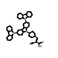 N#C/C(=C\c1ccc(-n2c3ccc(-n4c5ccccc5c5ccccc54)cc3c3cc(-n4c5ccccc5c5ccccc54)ccc32)cc1)C(=O)O